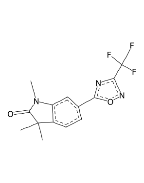 CN1C(=O)C(C)(C)c2ccc(-c3nc(C(F)(F)F)no3)cc21